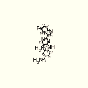 NC[C@H]1CC[C@H](Nc2nc(-c3cnc4ccc(F)cn34)ncc2N)CC1